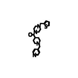 O=C(C1CCN(Cc2ccncc2)CC1)N1CCN(Cc2cccs2)CC1